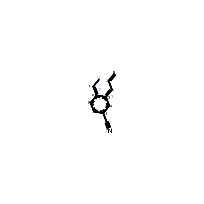 C=C/C=c1/cc(C#N)cc/c1=C/C